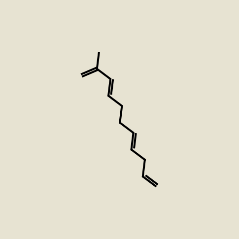 C=CCC=CCCC=CC(=C)C